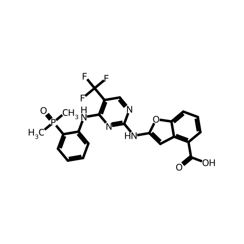 CP(C)(=O)c1ccccc1Nc1nc(Nc2cc3c(C(=O)O)cccc3o2)ncc1C(F)(F)F